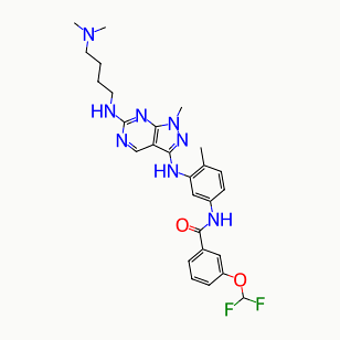 Cc1ccc(NC(=O)c2cccc(OC(F)F)c2)cc1Nc1nn(C)c2nc(NCCCCN(C)C)ncc12